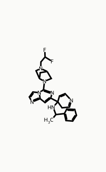 CC(NC1(c2cc3nccn3c(N3CC4CC3CN4CC(F)F)n2)C=CN=CC1)c1ccccc1